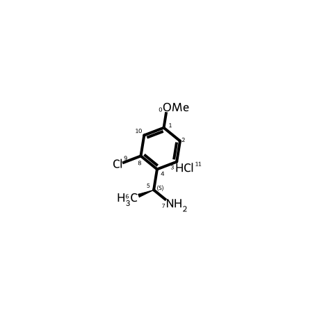 COc1ccc([C@H](C)N)c(Cl)c1.Cl